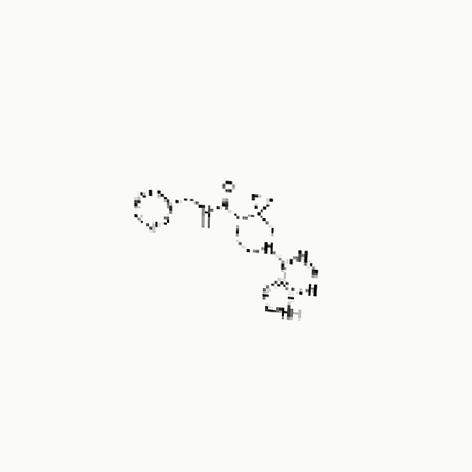 O=C(NCc1cccnc1)C1CCN(c2ncnc3[nH]ccc23)CC12CC2